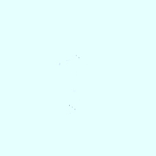 CC1(C)CC(OCCN)CN1C(=O)O